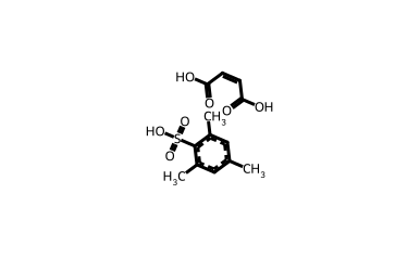 Cc1cc(C)c(S(=O)(=O)O)c(C)c1.O=C(O)/C=C\C(=O)O